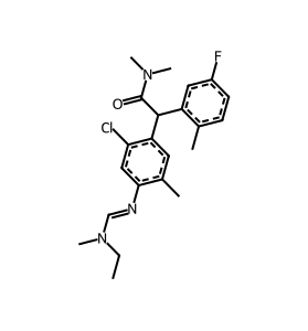 CCN(C)C=Nc1cc(Cl)c(C(C(=O)N(C)C)c2cc(F)ccc2C)cc1C